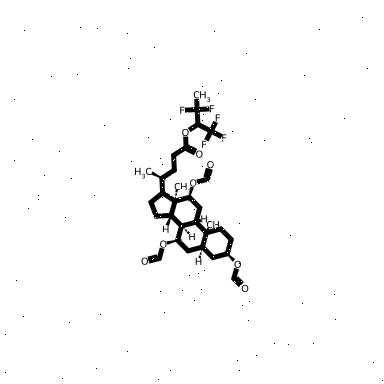 C[C@@H](CCC(=O)OC(C(C)(F)F)C(F)(F)F)C1CC[C@H]2[C@@H]3[C@H](OC=O)C[C@@H]4C[C@H](OC=O)CC[C@]4(C)[C@H]3C[C@H](OC=O)[C@]12C